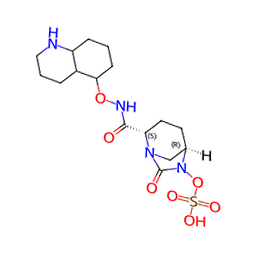 O=C(NOC1CCCC2NCCCC21)[C@@H]1CC[C@@H]2CN1C(=O)N2OS(=O)(=O)O